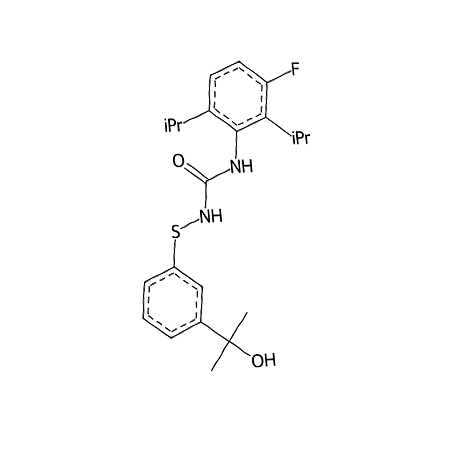 CC(C)c1ccc(F)c(C(C)C)c1NC(=O)NSc1cccc(C(C)(C)O)c1